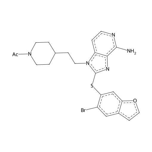 CC(=O)N1CCC(CCn2c(Sc3cc4occc4cc3Br)nc3c(N)nccc32)CC1